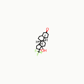 C[C@]12CCC(=O)CC1CC[C@@H]1[C@H]2CC[C@@]2(C)[C@H]1CCC2(O)C(F)(F)F